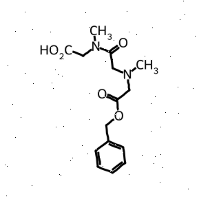 CN(CC(=O)OCc1ccccc1)CC(=O)N(C)CC(=O)O